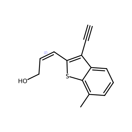 C#Cc1c(/C=C\CO)sc2c(C)cccc12